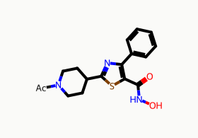 CC(=O)N1CCC(c2nc(-c3ccccc3)c(C(=O)NO)s2)CC1